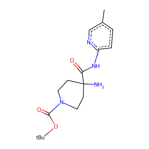 Cc1ccc(NC(=O)C2(N)CCN(C(=O)OC(C)(C)C)CC2)nc1